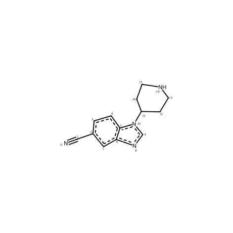 N#Cc1ccc2c(c1)ncn2C1CCNCC1